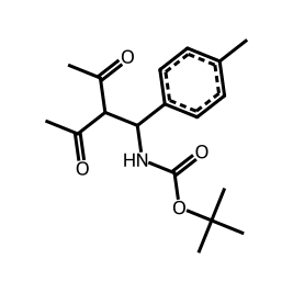 CC(=O)C(C(C)=O)C(NC(=O)OC(C)(C)C)c1ccc(C)cc1